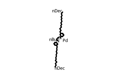 CCCCCCCCCCCCCCCCCCCCCCCCc1cccc(N=CC(CCCC)=Nc2cccc(CCCCCCCCCCCCCCCCCCCCCCCC)c2)c1.[Pd]